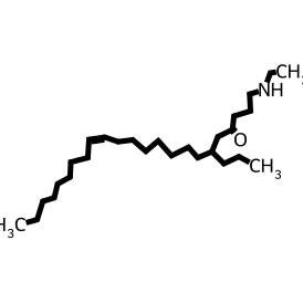 CCCCCCCC/C=C\CCCCCCCC(CCC)CC(=O)CCCNCC